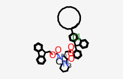 CN(C(=O)OCC1c2ccccc2-c2ccccc21)[C@@H](CC(=O)OC(c1ccccc1)(c1ccc(C2=C=CCCCCCCCCCCCCC2)cc1)c1ccccc1Cl)C(=O)N1CCCCC1